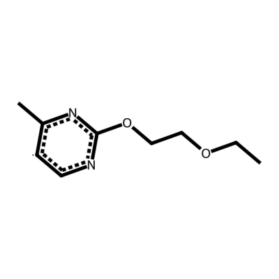 CCOCCOc1nc[c]c(C)n1